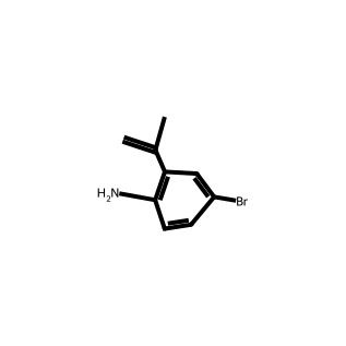 C=C(C)c1cc(Br)ccc1N